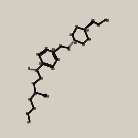 CCCCC([O])CCC(C)c1ccc(CC[C@H]2CC[C@H](CCC)CC2)cc1